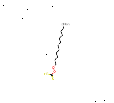 CCCCCCCCCCCCCCCCCCCCOOC(=S)S